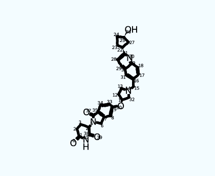 O=C1CCC(N2Cc3cc(O[C@H]4CCN(Cc5ccc6nc([C@@H]7CC[C@H](O)C7)ccc6c5)C4)ccc3C2=O)C(=O)N1